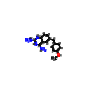 COc1ccc(Cc2ccc3nc(N)nc(N)c3c2)cc1